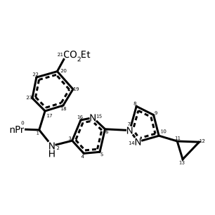 CCCC(Nc1ccc(-n2ccc(C3CC3)n2)nc1)c1ccc(C(=O)OCC)cc1